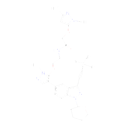 Cc1cc(OCC(=O)NCCOc2c(-c3ccc4c(c3)c(C#C[Si](C(C)C)(C(C)C)C(C)C)nn4C3CCCCO3)cnn2C)n(C)n1